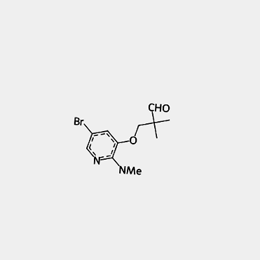 CNc1ncc(Br)cc1OCC(C)(C)C=O